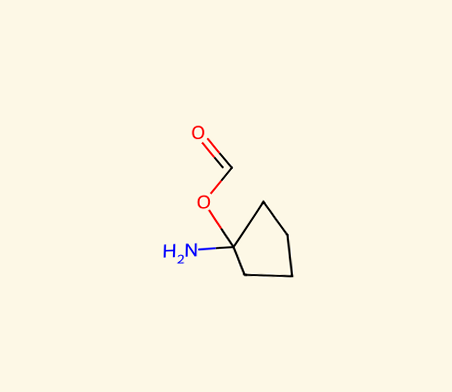 NC1(OC=O)CCCC1